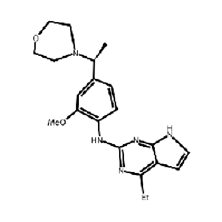 CCc1nc(Nc2ccc([C@H](C)N3CCOCC3)cc2OC)nc2[nH]ccc12